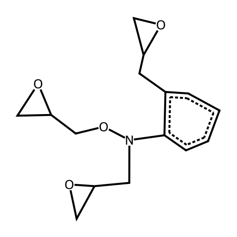 c1ccc(N(CC2CO2)OCC2CO2)c(CC2CO2)c1